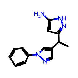 CC(c1cnn(-c2ccccc2)c1)c1cc(N)[nH]n1